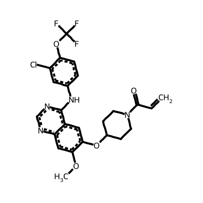 C=CC(=O)N1CCC(Oc2cc3c(Nc4ccc(OC(F)(F)F)c(Cl)c4)ncnc3cc2OC)CC1